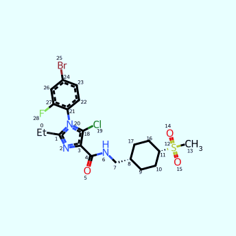 CCc1nc(C(=O)NC[C@H]2CC[C@@H](S(C)(=O)=O)CC2)c(Cl)n1-c1ccc(Br)cc1F